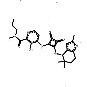 CCCN(C)C(=O)c1nccc(Nc2c(N[C@H]3c4cc(C)oc4CCC3(C)C)c(=O)c2=O)c1O